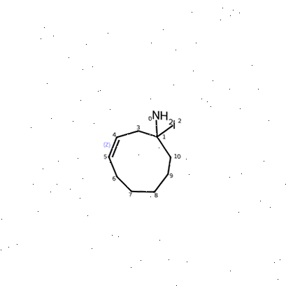 NC1(I)C/C=C\CCCCC1